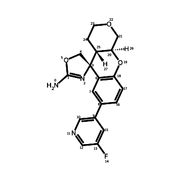 NC1=N[C@@]2(CO1)c1cc(-c3cncc(F)c3)ccc1O[C@@H]1COCC[C@H]12